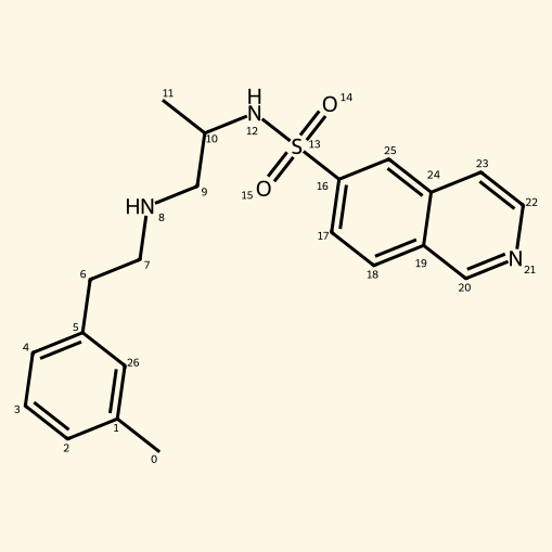 Cc1cccc(CCNCC(C)NS(=O)(=O)c2ccc3cnccc3c2)c1